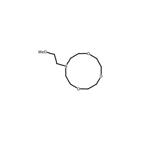 COCCN1CCOCCOCCOCC1